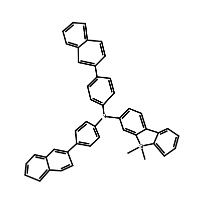 C[Si]1(C)c2ccccc2-c2ccc(N(c3ccc(-c4ccc5ccccc5c4)cc3)c3ccc(-c4ccc5ccccc5c4)cc3)cc21